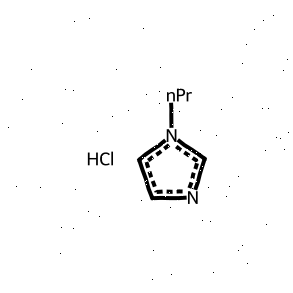 CCCn1ccnc1.Cl